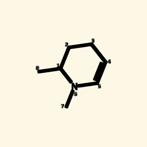 CC1CCC=CN1C